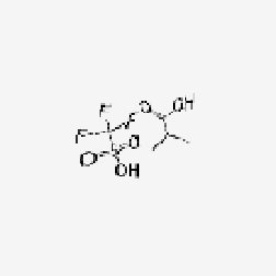 CC(C)C(=O)O.O=S(=O)(O)C(F)(F)F